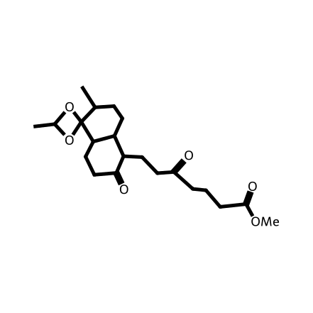 COC(=O)CCCC(=O)CCC1C(=O)CCC2C1CCC(C)C21OC(C)O1